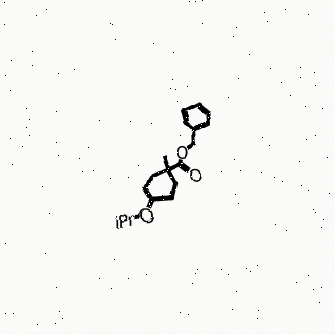 CC(C)OC1CCC(C)(C(=O)OCc2ccccc2)CC1